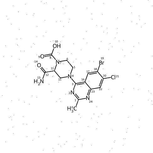 Cc1nc(N2CCN(C(=O)O)C(C(N)=O)C2)c2cc(Br)c(Cl)cc2n1